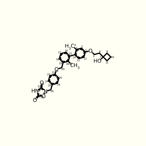 Cc1cc(OCCC2(O)CCC2)ccc1-c1cccc(COc2ccc(Cn3oc(=O)[nH]c3=O)cc2)c1C